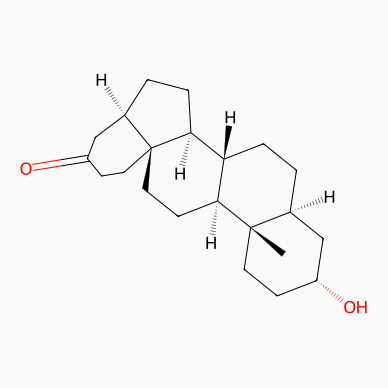 C[C@]12CC[C@@H](O)C[C@@H]1CC[C@@H]1[C@@H]2CC[C@@]23CCC(=O)C[C@H]2CC[C@@H]13